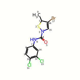 CC1SN(C(=O)Nc2ccc(Cl)c(Cl)c2)C=C1Br